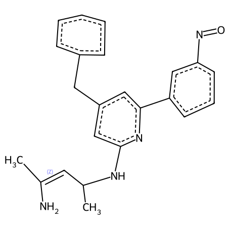 C/C(N)=C/C(C)Nc1cc(Cc2ccccc2)cc(-c2cccc(N=O)c2)n1